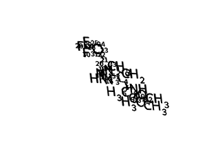 C=C/C(=C\C=C(/C)NC(=O)OC(C)(C)C)C1=NNN=C(CCc2cccc(C(F)(F)F)c2)N1C